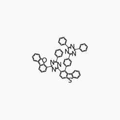 c1ccc(-c2nc(-c3ccccc3)nc(-c3ccc(-c4c(-c5nc(-c6ccccc6)nc(-c6cccc7c6oc6ccccc67)n5)ccc5sc6ccccc6c45)cc3)n2)cc1